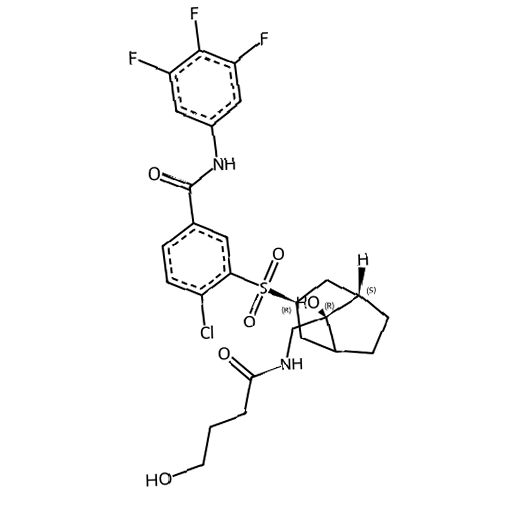 O=C(CCCO)NC[C@@]1(O)C2CC[C@H]1C[C@H](S(=O)(=O)c1cc(C(=O)Nc3cc(F)c(F)c(F)c3)ccc1Cl)C2